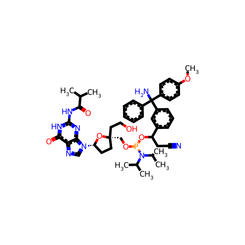 COc1ccc(C(N)(c2ccccc2)c2cccc(C(CC#N)OP(OC[C@]3(CCO)CC[C@H](n4cnc5c(=O)[nH]c(NC(=O)C(C)C)nc54)O3)N(C(C)C)C(C)C)c2)cc1